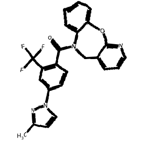 Cc1ccn(-c2ccc(C(=O)N3Cc4cccnc4Oc4ccccc43)c(C(F)(F)F)c2)n1